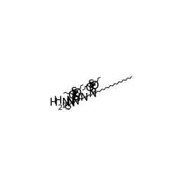 CCCCCCCCCCCCCCCCCCN(CCCNCCCN(CSP(=S)(OCCCC)OCCCC)CN(N)c1ccccc1N)CSP(=S)(OCCCC)OCCCC